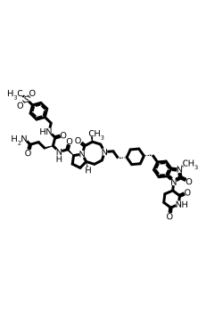 C[C@H]1CN(CC[C@H]2CC[C@@H](Cc3ccc4c(c3)n(C)c(=O)n4C3CCC(=O)NC3=O)CC2)CC[C@H]2CC[C@@H](C(=O)N[C@@H](CCC(N)=O)C(=O)NCc3ccc(S(C)(=O)=O)cc3)N2C1=O